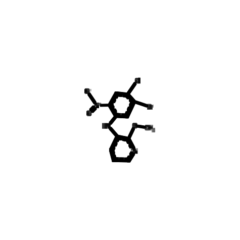 COc1ncccc1Nc1cc(Br)c(Cl)cc1[N+](=O)[O-]